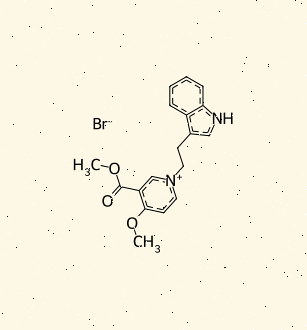 COC(=O)c1c[n+](CCc2c[nH]c3ccccc23)ccc1OC.[Br-]